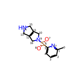 Cc1cccc(S(=O)(=O)N2CC3=C(CNC3)C2)n1